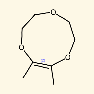 C/C1=C(\C)OCCOCCO1